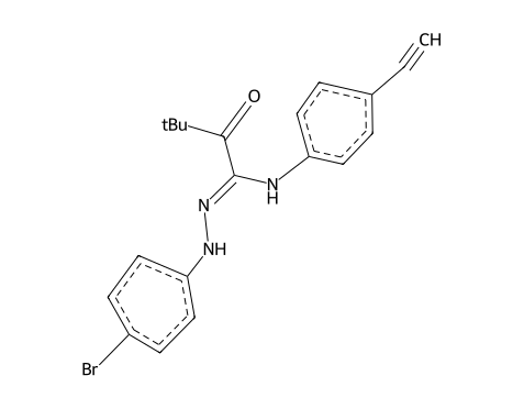 C#Cc1ccc(N/C(=N\Nc2ccc(Br)cc2)C(=O)C(C)(C)C)cc1